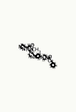 Cn1c(N2CCNC(c3ccc(N4CCN(C(=O)OCc5ccccc5)CC4)cc3)C2)nc(-c2ccncn2)cc1=O